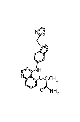 C[C@H](Oc1cccc2ncnc(Nc3ccc4c(cnn4Cc4nccs4)c3)c12)C(N)=O